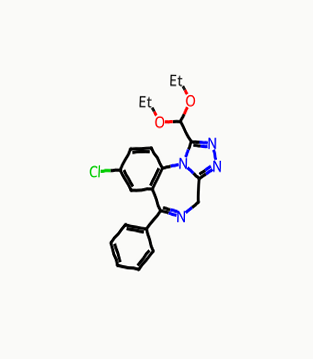 CCOC(OCC)c1nnc2n1-c1ccc(Cl)cc1C(c1ccccc1)=NC2